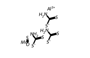 NC(=S)[S-].NC(=S)[S-].NC(=S)[S-].O=S.[Al+3].[Mo]